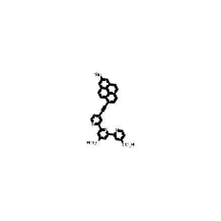 CC(C)(C)c1cc2ccc3ccc(C#Cc4ccnc(-c5cc(C(=O)O)cc(-c6cc(C(=O)O)ccn6)n5)c4)c4ccc(c1)c2c34